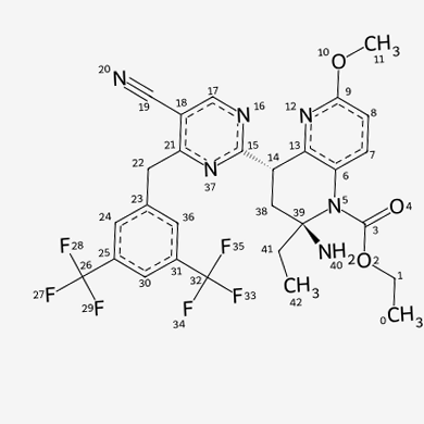 CCOC(=O)N1c2ccc(OC)nc2[C@@H](c2ncc(C#N)c(Cc3cc(C(F)(F)F)cc(C(F)(F)F)c3)n2)C[C@@]1(N)CC